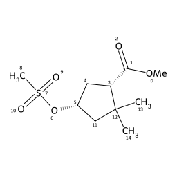 COC(=O)[C@H]1C[C@@H](OS(C)(=O)=O)CC1(C)C